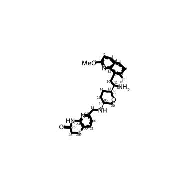 COc1ccc2ccc(F)c(CC(N)[C@@H]3CC[C@@H](NCc4ccc5c(n4)NC(=O)CS5)CO3)c2n1